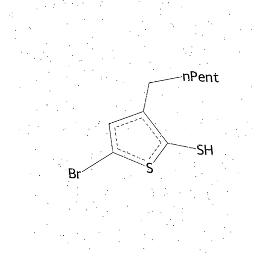 CCCCCCc1cc(Br)sc1S